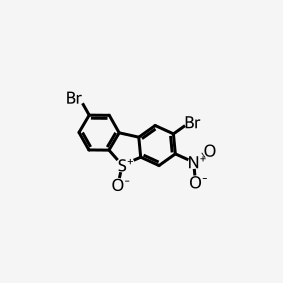 O=[N+]([O-])c1cc2c(cc1Br)c1cc(Br)ccc1[s+]2[O-]